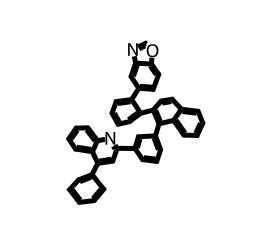 c1ccc(-c2cc(-c3cccc(-c4c(-c5ccccc5-c5ccc6ocnc6c5)ccc5ccccc45)c3)nc3ccccc23)cc1